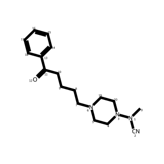 CN(C#N)N1CCN(CCCCC(=O)c2ccccc2)CC1